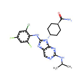 CC(C)Nc1ncc2nc(Nc3c(F)cc(F)cc3Cl)n([C@H]3CC[C@H](C(N)=O)CC3)c2n1